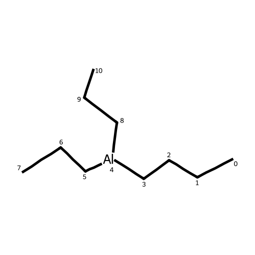 CCC[CH2][Al]([CH2]CC)[CH2]CC